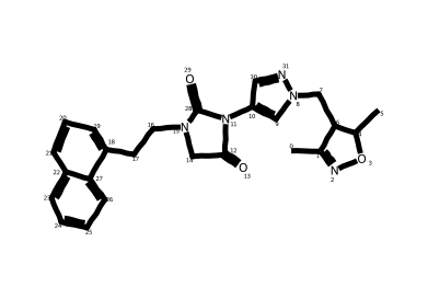 CC1=NOC(C)C1Cn1cc(N2C(=O)CN(CCc3cccc4ccccc34)C2=O)cn1